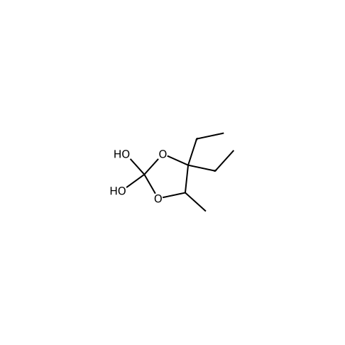 CCC1(CC)OC(O)(O)OC1C